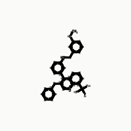 COc1cccc(CNc2cccc(-c3c(Cc4ccccc4)cnc4c(C(F)(F)F)cccc34)c2)c1